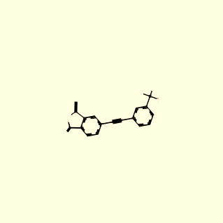 C=C1OC(=O)c2ccc(C#Cc3cccc(C(F)(F)F)c3)cc21